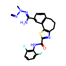 C=NN(C)/N=C(\N)c1ccc2c(c1)-c1sc(C(=O)Nc3c(F)cccc3F)nc1CCC2